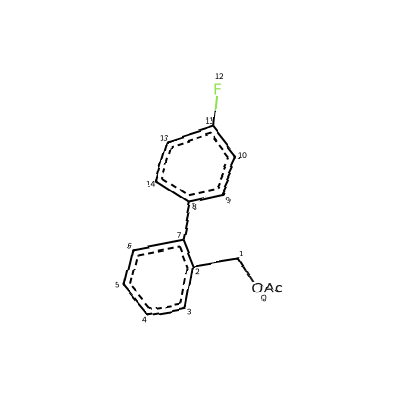 CC(=O)OCc1ccccc1-c1ccc(F)cc1